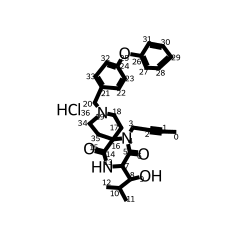 CC#CCN1C(=O)C(C(O)C(C)C)NC(=O)C12CCN(Cc1ccc(Oc3ccccc3)cc1)CC2.Cl